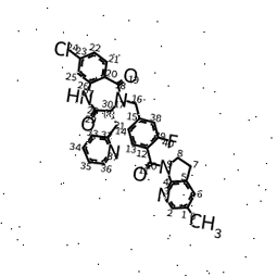 Cc1cnc2c(c1)CCN2C(=O)c1ccc(CN2C(=O)c3ccc(Cl)cc3NC(=O)[C@H]2Cc2ccccn2)cc1F